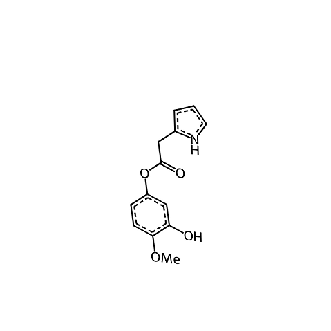 COc1ccc(OC(=O)Cc2ccc[nH]2)cc1O